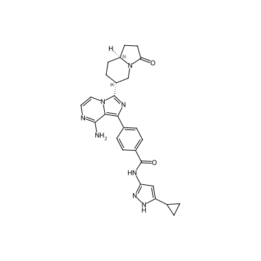 Nc1nccn2c([C@@H]3CC[C@H]4CCC(=O)N4C3)nc(-c3ccc(C(=O)Nc4cc(C5CC5)[nH]n4)cc3)c12